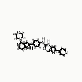 Cn1nc(-c2ccncc2)cc1NC(=O)Nc1ccc(-c2cc3c(N4CCOCC4)nccc3[nH]2)cc1